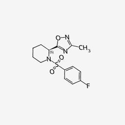 Cc1noc([C@@H]2CCCCN2S(=O)(=O)c2ccc(F)cc2)n1